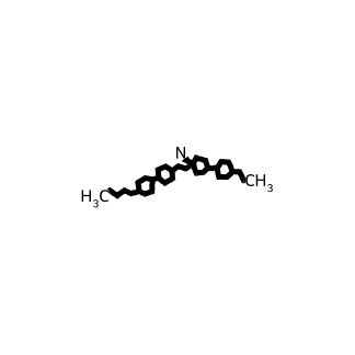 CCCCCC1CCC(C2CCC(CCC3(C#N)CCC(C4CCC(CCC)CC4)CC3)CC2)CC1